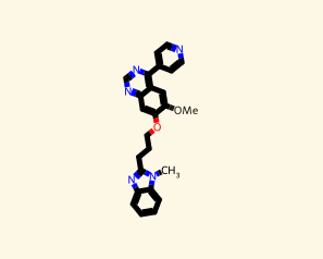 COc1cc2c(-c3ccncc3)ncnc2cc1OCCCc1nc2ccccc2n1C